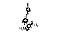 Cn1ncc2cc(C(N)=O)cc(Oc3ccc(OCCOC4CCNCC4)cc3F)c21